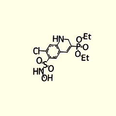 CCOP(=O)(OCC)C1=Cc2cc(S(=O)(=O)NO)c(Cl)cc2NC1